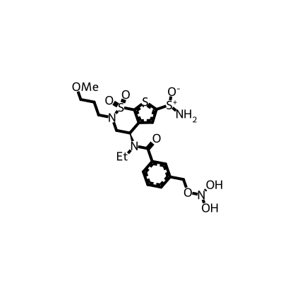 CCN(C(=O)c1cccc(CON(O)O)c1)[C@H]1CN(CCCOC)S(=O)(=O)c2sc([S+](N)[O-])cc21